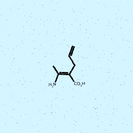 C=CCC(C(=O)O)=C(C)N